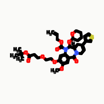 C=CCOC(=O)N1c2cc(OCCOCCC(=O)OC(C)(C)C)c(OC)cc2C(=O)N2CC=C(c3ccsc3)C[C@H]2C1OC1CCCCO1